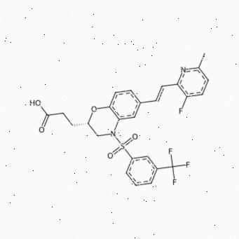 Cc1ccc(F)c(/C=C/c2ccc3c(c2)N(S(=O)(=O)c2cccc(C(F)(F)F)c2)C[C@H](CCC(=O)O)O3)n1